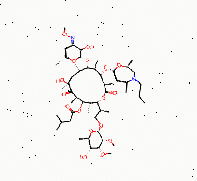 CCCN1C[C@H](C)O[C@@H](O[C@H]2[C@H](C)[C@@H](O[C@@H]3O[C@H](C)C/C(=N\OC)C3O)[C@@H](C)C[C@](C)(O)C(=O)[C@H](C)[C@H](OC(=O)CC(C)C)[C@@H](C)[C@@H]([C@@H](C)CO[C@@H]3O[C@H](C)[C@@H](O)[C@@H](OC)[C@H]3OC)OC(=O)[C@@H]2C)CC1C